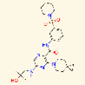 CC(C)(O)CNc1cnc(C(=O)Nc2cccc(S(=O)(=O)N3CCCCC3)c2)c(N2CCC3(CC2)CC3)n1